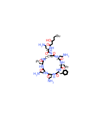 CCC(C)CC[C@@H](O)CC(=O)N[C@H](CCN)C(=O)N[C@H]1CCNC(=O)[C@H](CC(C)C)NC(=O)[C@H](CCN)NC(=O)[C@H](CCN)NC(=O)[C@@H](Cc2ccccc2)NC(=O)[C@H](CC(C)C)NC(=O)[C@H](CCN)NC1=O